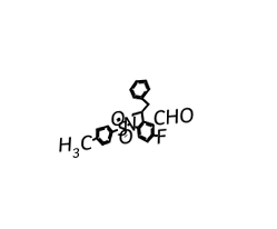 Cc1ccc(S(=O)(=O)N2CC(Cc3ccccc3)c3c2ccc(F)c3C=O)cc1